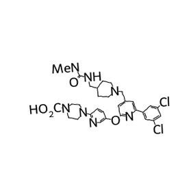 CNC(=O)NCC1CCN(Cc2cc(Oc3ccc(N4CCN(C(=O)O)CC4)nc3)nc(-c3cc(Cl)cc(Cl)c3)c2)CC1